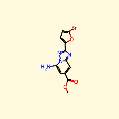 COC(=O)c1cc(N)n2nc(-c3ccc(Br)o3)nc2c1